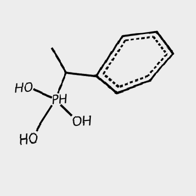 CC(c1ccccc1)[PH](O)(O)O